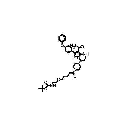 CC(C)(C)OC(=O)NCCOCCCCC(=O)N1CCC([C@@H]2CCNc3c(C(N)=O)c(-c4ccc(Oc5ccccc5)cc4)nn32)CC1